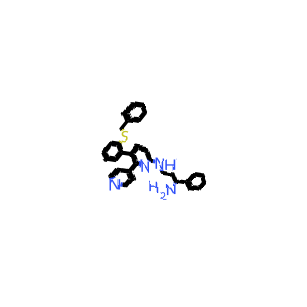 NC(CCNc1ccc(-c2ccccc2SCc2ccccc2)c(-c2ccncc2)n1)c1ccccc1